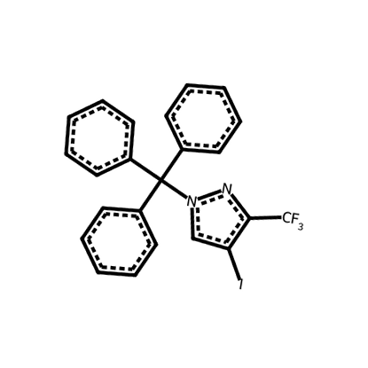 FC(F)(F)c1nn(C(c2ccccc2)(c2ccccc2)c2ccccc2)cc1I